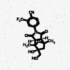 CC12C[C@](O)(CO)C(C)(O1)[C@H]1C(=O)N(c3ccc(C#N)c(C(F)(F)F)c3)C(=O)[C@H]12